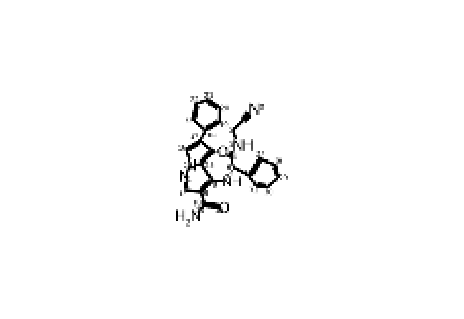 N#CCNC(=O)[C@@H](Nc1c(C(N)=O)cnn2cc(-c3ccccc3)cc12)c1ccccc1